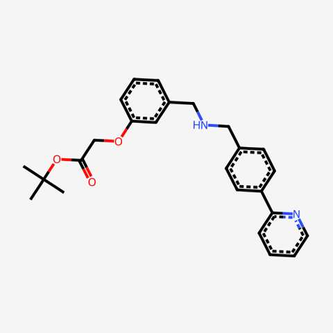 CC(C)(C)OC(=O)COc1cccc(CNCc2ccc(-c3ccccn3)cc2)c1